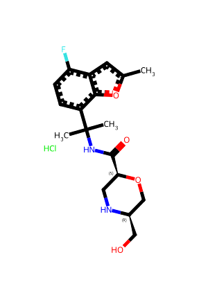 Cc1cc2c(F)ccc(C(C)(C)NC(=O)[C@@H]3CN[C@H](CO)CO3)c2o1.Cl